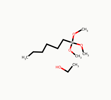 CCCCCC[Si](OC)(OC)OC.CCO